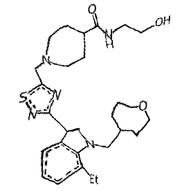 CCc1cccc2c1N(CC1CCOCC1)CC2c1nsc(CN2CCC(C(=O)NCCO)CC2)n1